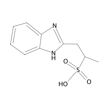 CC(Cc1nc2ccccc2[nH]1)S(=O)(=O)O